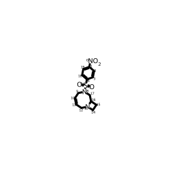 O=[N+]([O-])c1ccc(S(=O)(=O)N2C/C=C\CN3CCC3C2)cc1